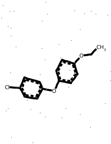 CCOc1ccc(Oc2ccc(Cl)cc2)cc1